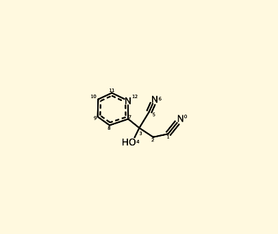 N#CCC(O)(C#N)c1ccccn1